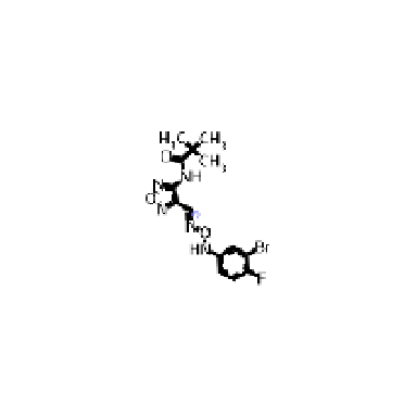 CC(C)(C)C(=O)Nc1nonc1/C=N/ONc1ccc(F)c(Br)c1